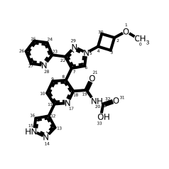 COC1CC(n2cc(-c3ccc(-c4cn[nH]c4)nc3C(N)=O)c(-c3ccccn3)n2)C1.O=CO